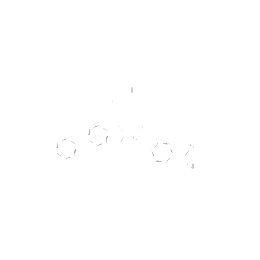 CCO[C@](C)(C(=O)NCc1ccc(C(=N)N)cc1)c1ccc(-c2ccccc2)cc1.Cl